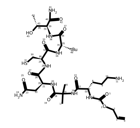 C=CCOC(=O)N[C@@H](CCCN)C(=O)NC(C)(C)C(=O)N[C@@H](CC(N)=O)C(=O)N[C@@H](CS)C(=O)N[C@H](C(=O)N[C@H](C(N)=O)[C@@H](C)O)C(C)(C)C